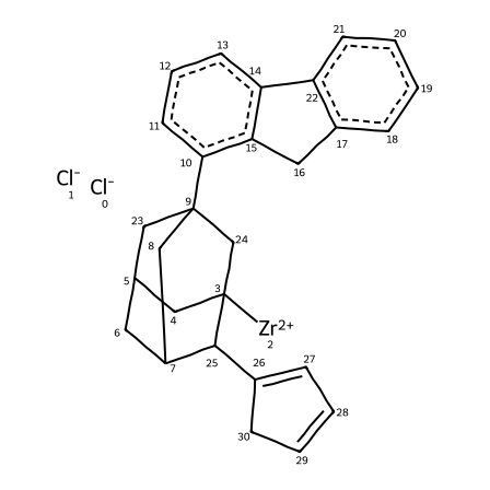 [Cl-].[Cl-].[Zr+2][C]12CC3CC(CC(c4cccc5c4Cc4ccccc4-5)(C3)C1)C2C1=CC=CC1